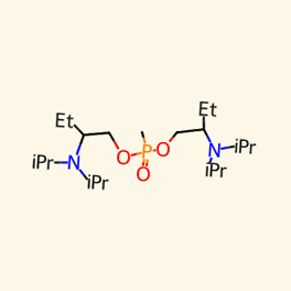 CCC(COP(C)(=O)OCC(CC)N(C(C)C)C(C)C)N(C(C)C)C(C)C